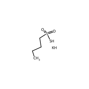 CCCCS(=O)(=O)S.[KH]